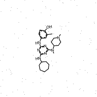 Cc1cc(Nc2nc(NC3CCCCCC3)nc(N(C)C3CCN(C)CC3)n2)ccc1O